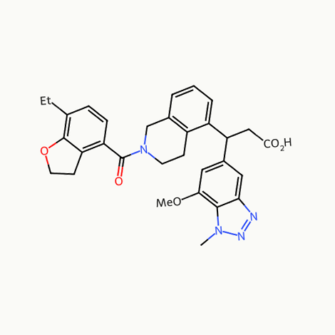 CCc1ccc(C(=O)N2CCc3c(cccc3C(CC(=O)O)c3cc(OC)c4c(c3)nnn4C)C2)c2c1OCC2